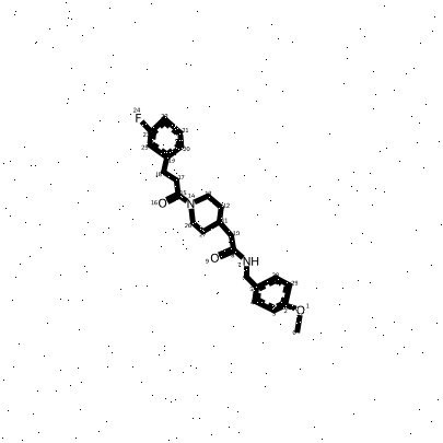 COc1ccc(CNC(=O)CC2CCN(C(=O)CCc3cccc(F)c3)CC2)cc1